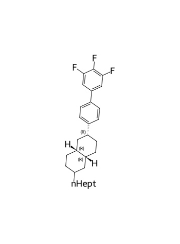 CCCCCCCC1CC[C@@H]2C[C@H](c3ccc(-c4cc(F)c(F)c(F)c4)cc3)CC[C@@H]2C1